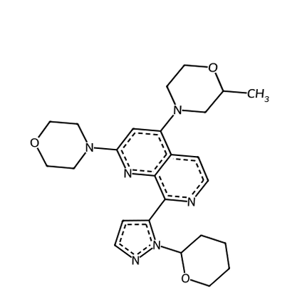 CC1CN(c2cc(N3CCOCC3)nc3c(-c4ccnn4C4CCCCO4)nccc23)CCO1